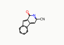 N#CC1=NC(=O)C2=Cc3ccccc3C2=C1